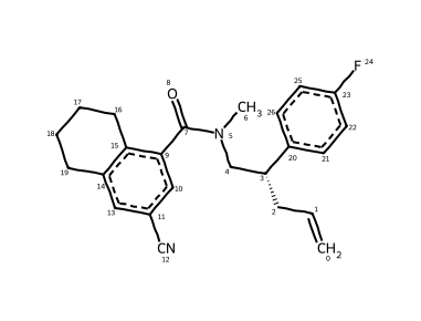 C=CC[C@H](CN(C)C(=O)c1cc(C#N)cc2c1CCCC2)c1ccc(F)cc1